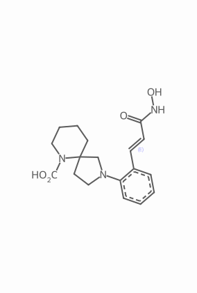 O=C(/C=C/c1ccccc1N1CCC2(CCCCN2C(=O)O)C1)NO